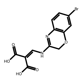 O=C(O)C(=CNC1=Nc2ccc(Br)cc2OC1)C(=O)O